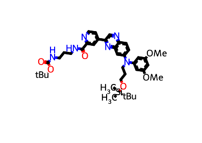 COc1cc(OC)cc(N(CCCO[Si](C)(C)C(C)(C)C)c2ccc3ncc(-c4ccnc(C(=O)NCCCNC(=O)OC(C)(C)C)c4)nc3c2)c1